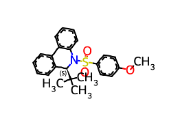 COc1ccc(S(=O)(=O)N2c3ccccc3-c3ccccc3[C@@H]2C(C)(C)C)cc1